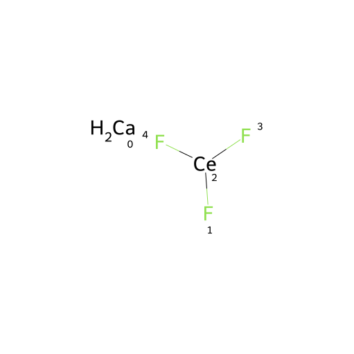 [CaH2].[F][Ce]([F])[F]